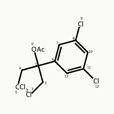 CC(=O)OC(CCl)(CC(Cl)(Cl)Cl)c1cc(Cl)cc(Cl)c1